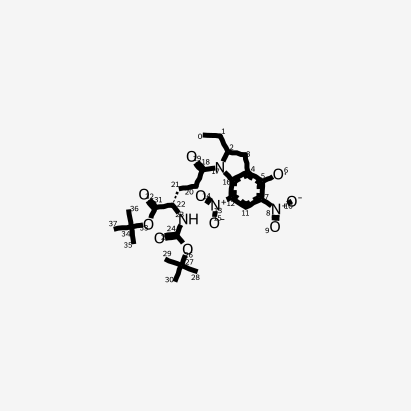 CCC1Cc2c([O])c([N+](=O)[O-])cc([N+](=O)[O-])c2N1C(=O)CC[C@H](NC(=O)OC(C)(C)C)C(=O)OC(C)(C)C